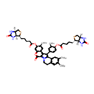 COc1cc2c(cc1OC)-c1c(-c3ccc(OC(=O)CCCC[C@@H]4SC[C@@H]5NC(=O)N[C@@H]54)c(OC)c3)c3c4cc(OC)c(OC(=O)CCCC[C@@H]5SC[C@@H]6NC(=O)N[C@@H]65)cc4oc(=O)c3n1CC2